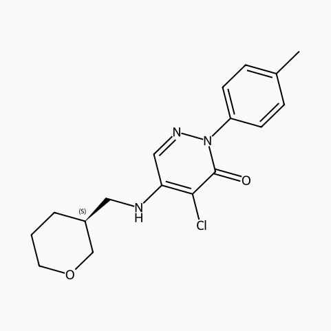 Cc1ccc(-n2ncc(NC[C@@H]3CCCOC3)c(Cl)c2=O)cc1